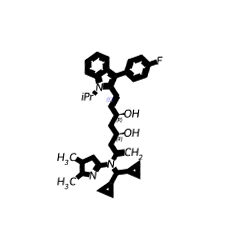 C=C(C[C@@H](O)C[C@@H](O)/C=C/c1c(-c2ccc(F)cc2)c2ccccc2n1C(C)C)N(C1=NC(C)C(C)C1)C(C1CC1)C1CC1